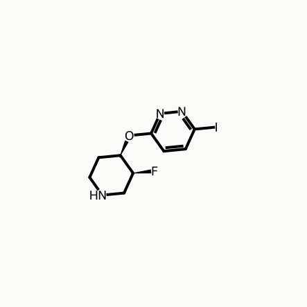 F[C@H]1CNCC[C@H]1Oc1ccc(I)nn1